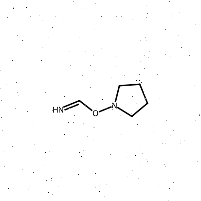 N=CON1CCCC1